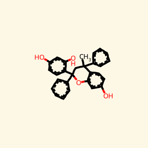 CC1(c2ccccc2)CC(c2ccccc2)(c2ccc(O)cc2O)Oc2cc(O)ccc21